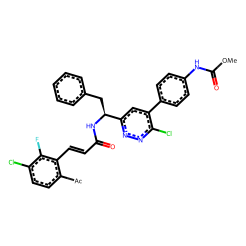 COC(=O)Nc1ccc(-c2cc([C@H](Cc3ccccc3)NC(=O)/C=C/c3c(C(C)=O)ccc(Cl)c3F)nnc2Cl)cc1